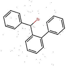 BrC(c1ccccc1)c1ccccc1-c1ccccc1